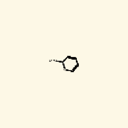 CSC1C=CC=CO1